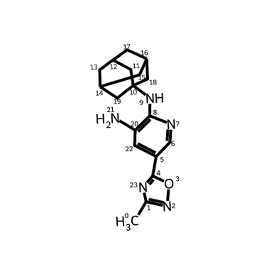 Cc1noc(-c2cnc(NC34CC5CC(CC(C5)C3)C4)c(N)c2)n1